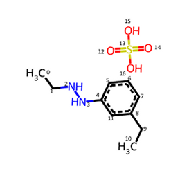 CCNNc1cccc(CC)c1.O=S(=O)(O)O